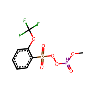 CO[PH](=O)OOS(=O)(=O)c1ccccc1OC(F)(F)F